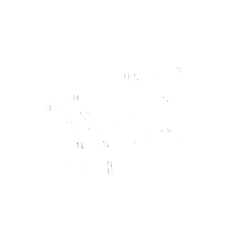 C=C/C(=C\c1ncc(Br)cc1N)c1ccc(-c2c[nH]c([C@@H]3CCCN3C(=O)OC(C)(C)C)n2)cc1